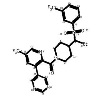 CCC(C1CCN(C(=O)c2ncc(C(F)(F)F)cc2-c2cncnc2)CC1)S(=O)(=O)c1cccc(C(F)(F)F)c1